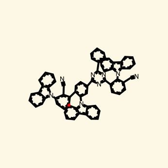 N#Cc1cccc(-c2nc(-c3ccccc3)nc(-c3ccc(-c4cccc(-n5c6ccccc6c6ccccc65)c4C#N)c(-n4c5ccccc5c5ccccc54)c3)n2)c1-n1c2ccccc2c2ccccc21